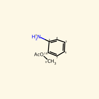 COC(C)=O.Nc1ccccc1